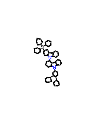 c1ccc(-c2ccc(-n3c4ccccc4c4c(-n5c6ccccc6c6cc([Si](c7ccccc7)(c7ccccc7)c7ccccc7)ccc65)cccc43)cc2-c2ccccc2)cc1